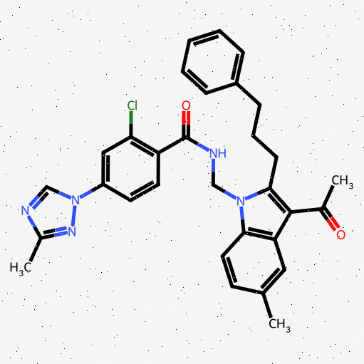 CC(=O)c1c(CCCc2ccccc2)n(CNC(=O)c2ccc(-n3cnc(C)n3)cc2Cl)c2ccc(C)cc12